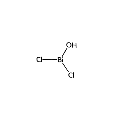 [OH][Bi]([Cl])[Cl]